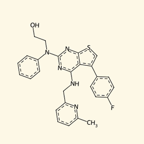 Cc1cccc(CNc2nc(N(CCO)c3ccccc3)nc3scc(-c4ccc(F)cc4)c23)n1